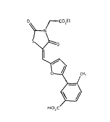 CCOC(=O)CN1C(=O)SC(=Cc2ccc(-c3cc(C(=O)O)ccc3C)o2)C1=O